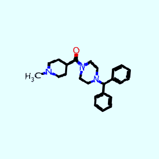 CN1CCC(C(=O)N2CCN(C(c3ccccc3)c3ccccc3)CC2)CC1